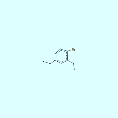 CCc1c[c]c(Br)c(CC)c1